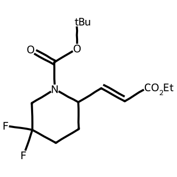 CCOC(=O)C=CC1CCC(F)(F)CN1C(=O)OC(C)(C)C